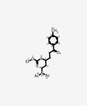 CCOC(=S)SC(CCC(=O)c1ccc(C)cc1)CCN(C(C)=O)C(C)=O